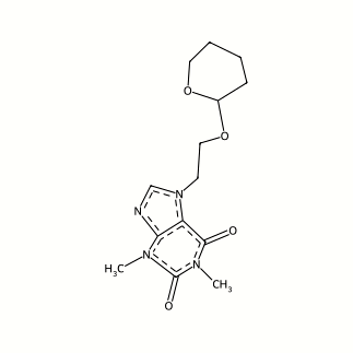 Cn1c(=O)c2c(ncn2CCOC2CCCCO2)n(C)c1=O